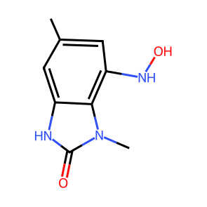 Cc1cc(NO)c2c(c1)[nH]c(=O)n2C